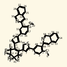 CSc1ccc(-c2cc(C3=C(c4csc(-c5ccc(SC)c(-c6cc7ccccc7cn6)c5)c4)C(F)(F)C(F)(F)C(C)(F)C3(F)F)cs2)cc1-c1cc2ccccc2cn1